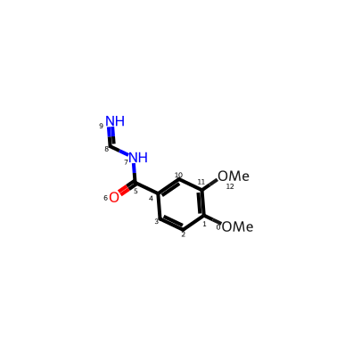 COc1ccc(C(=O)NC=N)cc1OC